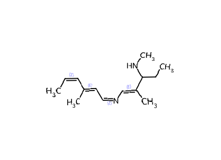 C\C=C/C(C)=C/C=N\C=C(/C)C(CC)NC